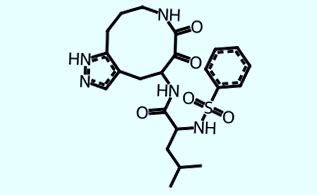 CC(C)CC(NS(=O)(=O)c1ccccc1)C(=O)NC1Cc2cn[nH]c2CCCNC(=O)C1=O